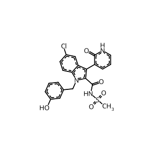 CS(=O)(=O)NC(=O)c1c(-c2ccc[nH]c2=O)c2cc(Cl)ccc2n1Cc1cccc(O)c1